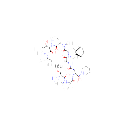 CC(=O)[C@H](CC(C)C)N(C)C(=O)[C@@H](NC(=O)[C@H](CC(C)C)N(C)C(=O)[C@H](CC1=CCCC=C1)N(C)C(=O)[C@@H](C)NC(=O)CC(NC(=O)[C@H](CC(C)C)N(C)C(=O)[C@@H](N)COC(C)(C)C)C(=O)N1CCCCC1)[C@@H](C)O